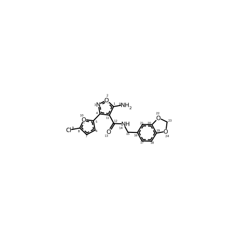 Nc1onc(-c2ccc(Cl)o2)c1C(=O)NCc1ccc2c(c1)OCO2